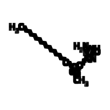 CCCCCCCCCCCCCCCCCCOCCOP(=O)(COCCn1cnc2c(=O)[nH]c(N)nc21)OCC